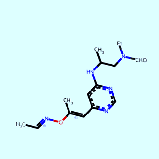 C/C=N/O/C(C)=C/c1cc(NC(C)CN(C=O)CC)ncn1